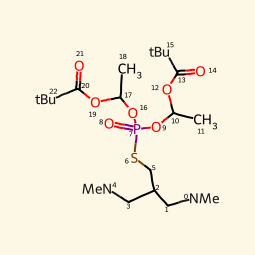 CNCC(CNC)CSP(=O)(OC(C)OC(=O)C(C)(C)C)OC(C)OC(=O)C(C)(C)C